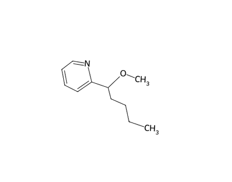 CCCCC(OC)c1ccccn1